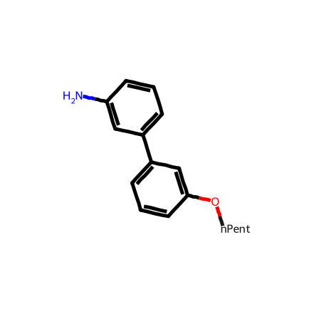 CCCCCOc1cccc(-c2cccc(N)c2)c1